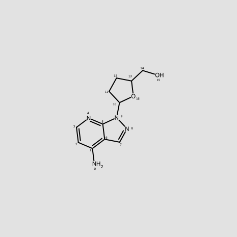 Nc1ccnc2c1cnn2C1CCC(CO)O1